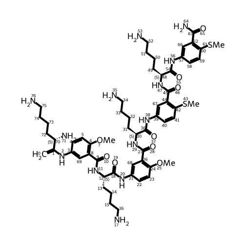 C=C(Nc1ccc(OC)c(C(=O)N[C@@H](CCCCN)C(=O)Nc2ccc(OC)c(C(=O)N[C@@H](CCCCN)C(=O)Nc3ccc(SC)c(C(=O)N[C@@H](CCCCN)C(=O)Nc4ccc(SC)c(C(N)=O)c4)c3)c2)c1)[C@@H](N)CCCCN